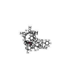 CC[C@H]1OC(=O)[C@H](C)[C@@H](OC2C[C@@](C)(OC)[C@@H](OC(=O)c3ccccc3)[C@H](C)O2)[C@H](C)[C@@H](OC2O[C@H](C)C[C@H](N(C)C)[C@H]2OC(=O)c2ccccc2)[C@@](C)(OC)C[C@@H](C)[C@H](O)[C@H](C)[C@@H](O)[C@]1(C)O